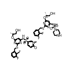 C[C@H](CO)Oc1cc(NS(=O)(=O)N2CCNCC2)nc(SCc2cccc(F)c2F)n1.C[C@H](CO)Oc1cc(NS(=O)(=O)c2ccc(=O)n(C)c2)nc(SCc2cccc(F)c2F)n1